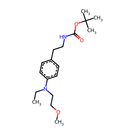 CCN(CCOC)c1ccc(CCNC(=O)OC(C)(C)C)cc1